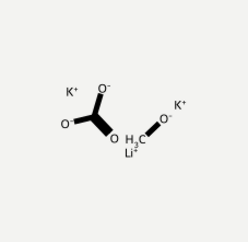 C[O-].O=C([O-])[O-].[K+].[K+].[Li+]